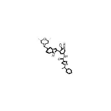 CC(c1ccccc1)n1cc(C(=O)Nc2c[nH]c(=O)c(-c3cc4cc(CN5C[C@@H](C)O[C@@H](C)C5)ccc4[nH]3)c2)cn1